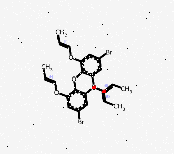 C/C=C/Oc1cc(Br)cc(O/C=C/C)c1Oc1c(O/C=C/C)cc(Br)cc1O/C=C/C